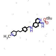 CN1CCC(CCc2ccc(CNc3ccc4c(NC(=O)OC(C)(C)C)nccc4c3)cc2)CC1